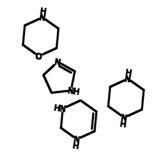 C1=CNCNC1.C1=NCCN1.C1CNCCN1.C1COCCN1